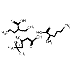 CC(CC(=O)O)CC(C)(C)C.CCCC(CC)C(=O)O.CCCCC(C)C(=O)O